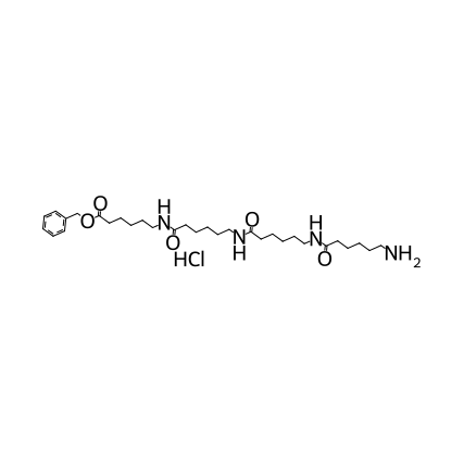 Cl.NCCCCCC(=O)NCCCCCC(=O)NCCCCCC(=O)NCCCCCC(=O)OCc1ccccc1